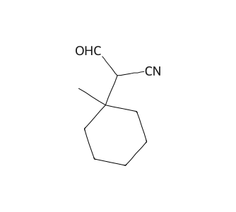 CC1(C(C#N)C=O)CCCCC1